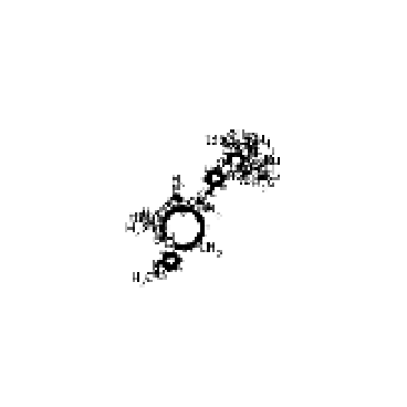 C=CCOC(=O)[C@H]1O[C@@H](Oc2ccc(COC(=O)O[C@H]3[C@@H](C)CCCC(C)=CC[C@@H](c4ccc5sc(C)nc5c4)OC(=O)C[C@H](O[Si](C)(C)C(C)(C)C)C(C)(C)C(=O)[C@@H]3CC=C)cc2[N+](=O)[O-])[C@H](O[Si](C)(C)C(C)(C)C)[C@@H](O[Si](C)(C)C(C)(C)C)[C@H]1O[Si](C)(C)C(C)(C)C